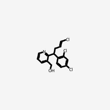 OCc1cccnc1C(CC=CCl)c1ccc(Cl)cc1Cl